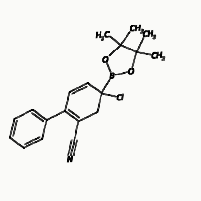 CC1(C)OB(C2(Cl)C=CC(c3ccccc3)=C(C#N)C2)OC1(C)C